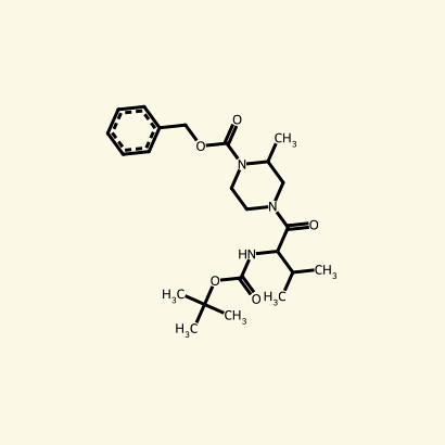 CC(C)C(NC(=O)OC(C)(C)C)C(=O)N1CCN(C(=O)OCc2ccccc2)C(C)C1